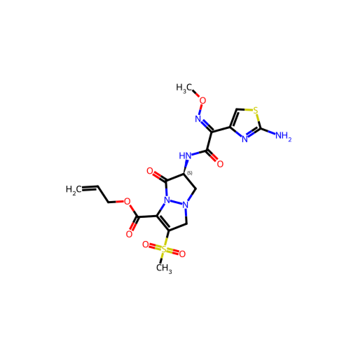 C=CCOC(=O)C1=C(S(C)(=O)=O)CN2C[C@H](NC(=O)C(=NOC)c3csc(N)n3)C(=O)N12